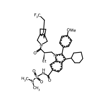 CC[C@H](Cn1c(-c2ccc(OC)cc2)c(C2CCCCC2)c2ccc(C(=O)NS(=O)(=O)N(C)C)cc21)C(=O)N1CC23CCC2(CN(CC(F)(F)F)C3)C1